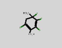 O=C(O)C1=C(F)CC(F)(C(=O)O)C(F)=C1F